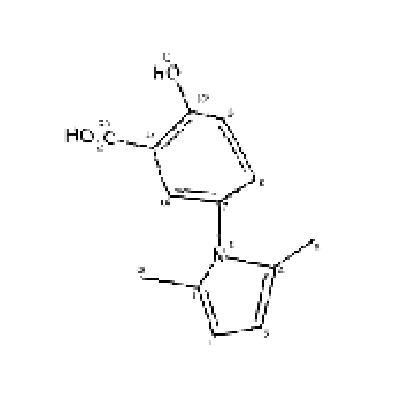 Cc1ccc(C)n1-c1ccc(O)c(C(=O)O)c1